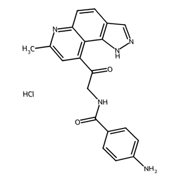 Cc1cc(C(=O)CNC(=O)c2ccc(N)cc2)c2c(ccc3cn[nH]c32)n1.Cl